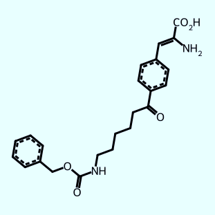 NC(=Cc1ccc(C(=O)CCCCCNC(=O)OCc2ccccc2)cc1)C(=O)O